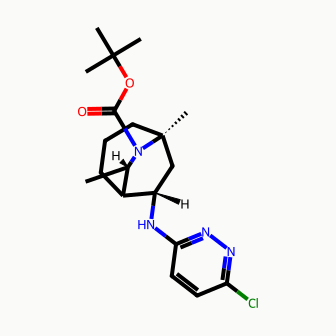 C[C@H]1C2CCC[C@@](C)(C[C@@H]2Nc2ccc(Cl)nn2)N1C(=O)OC(C)(C)C